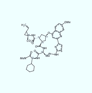 C=CC1C[C@]1(NC(=O)[C@@H]1C[C@@H](Oc2cc(-c3csc(NC(C)C)n3)nc3cc(OC)ccc23)C[C@H]1C(=O)N[C@H](C(=O)N[C@H](C(=O)NC)C1CCCCC1)C(C)(C)C)C(=O)O